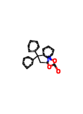 O=c1onc(CC(c2ccccc2)(c2ccccc2)c2ccccc2)o1